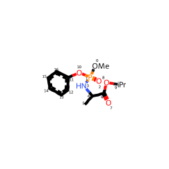 COP(=O)(NC(C)C(=O)OC(C)C)Oc1ccccc1